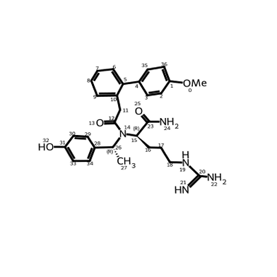 COc1ccc(-c2ccccc2CC(=O)N([C@H](CCCNC(=N)N)C(N)=O)[C@H](C)c2ccc(O)cc2)cc1